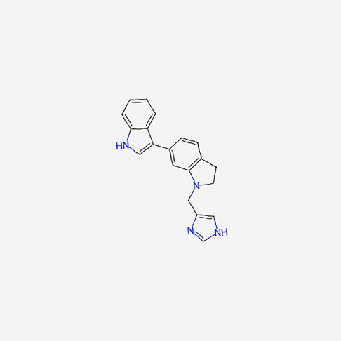 c1ccc2c(-c3ccc4c(c3)N(Cc3c[nH]cn3)CC4)c[nH]c2c1